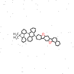 CC1(C)c2ccccc2-c2c(-c3c4ccccc4c(-c4ccc5c(c4)oc4cc6c(cc45)oc4c5ccccc5ccc64)c4ccccc34)cccc21